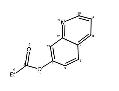 CCC(=O)Oc1ccc2cccnc2c1